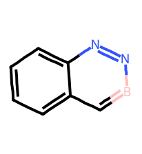 b1cc2ccccc2nn1